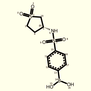 O=S1(=O)CC[C@@H](NS(=O)(=O)c2ccc(B(O)O)cc2)C1